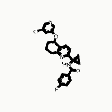 O=C(NC1(c2ccc3c(n2)CCC[C@H]3Oc2cncc(Cl)c2)CC1)c1ccc(F)cc1